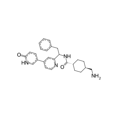 NC[C@H]1CC[C@H](C(=O)NC(Cc2ccccc2)c2cc(-c3ccc(=O)[nH]c3)ccn2)CC1